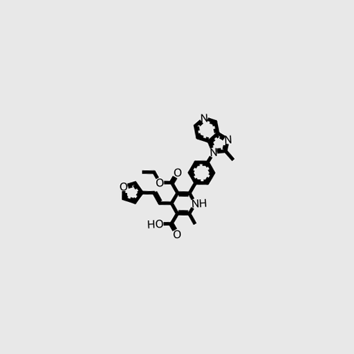 CCOC(=O)C1=C(c2ccc(-n3c(C)nc4cnccc43)cc2)NC(C)=C(C(=O)O)C1C=Cc1ccoc1